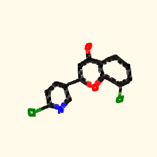 O=c1cc(-c2ccc(Cl)nc2)oc2c(Cl)cccc12